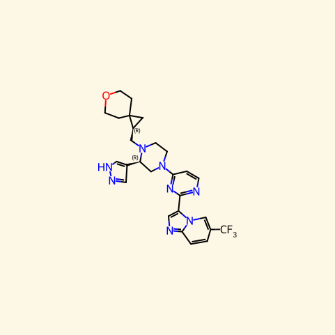 FC(F)(F)c1ccc2ncc(-c3nccc(N4CCN(C[C@@H]5CC56CCOCC6)[C@H](c5cn[nH]c5)C4)n3)n2c1